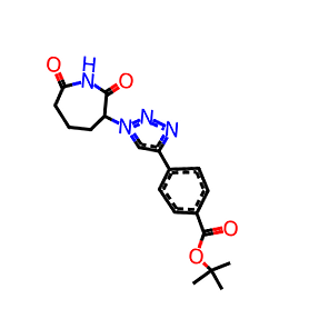 CC(C)(C)OC(=O)c1ccc(-c2cn(C3CCCC(=O)NC3=O)nn2)cc1